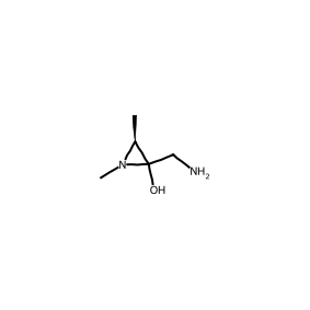 C[C@@H]1N(C)C1(O)CN